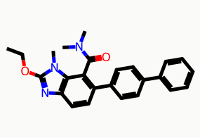 CCOc1nc2ccc(-c3ccc(-c4ccccc4)cc3)c(C(=O)N(C)C)c2n1C